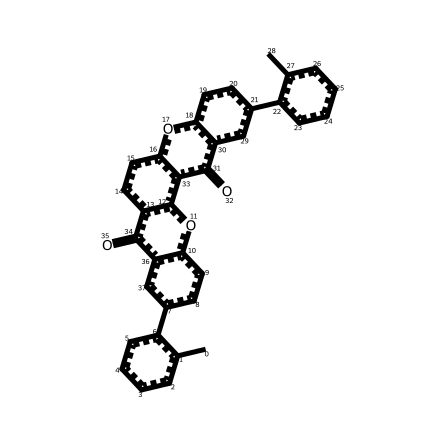 Cc1ccccc1-c1ccc2oc3c(ccc4oc5ccc(-c6ccccc6C)cc5c(=O)c43)c(=O)c2c1